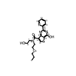 CCCOCCN(CCO)C(=O)c1csc2c(O)nc(-c3ccccn3)nc12